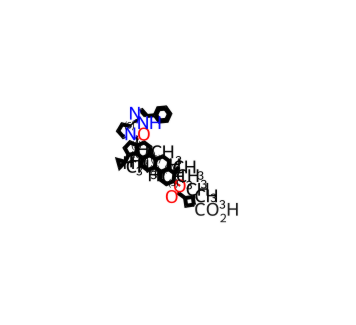 CC1(C2CC[C@]3(C(=O)N4CCC[C@H]4c4ncc(-c5ccccc5)[nH]4)CC[C@]4(C)[C@H](CC[C@@H]5[C@@]6(C)CC[C@H](OC(=O)C7CC(C(=O)O)C7(C)C)C(C)(C)[C@@H]6CC[C@]54C)[C@@H]23)CC1